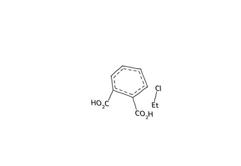 CCCl.O=C(O)c1ccccc1C(=O)O